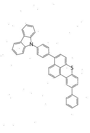 c1ccc(-c2ccc3c(c2)-c2cccc4c(-c5ccc(-n6c7ccccc7c7ccccc76)cc5)ccc(c24)S3)cc1